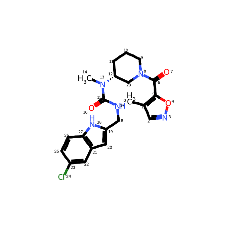 Cc1cnoc1C(=O)N1CCC[C@@H](N(C)C(=O)NCc2cc3cc(Cl)ccc3[nH]2)C1